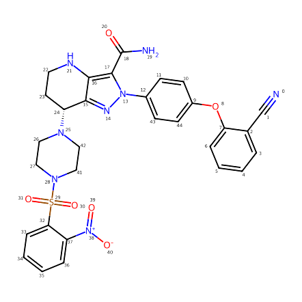 N#Cc1ccccc1Oc1ccc(-n2nc3c(c2C(N)=O)NCC[C@H]3N2CCN(S(=O)(=O)c3ccccc3[N+](=O)[O-])CC2)cc1